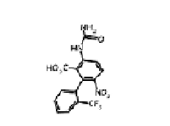 NC(=O)Nc1ccc([N+](=O)[O-])c(-c2ccccc2C(F)(F)F)c1C(=O)O